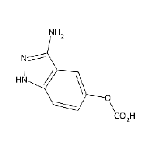 Nc1n[nH]c2ccc(OC(=O)O)cc12